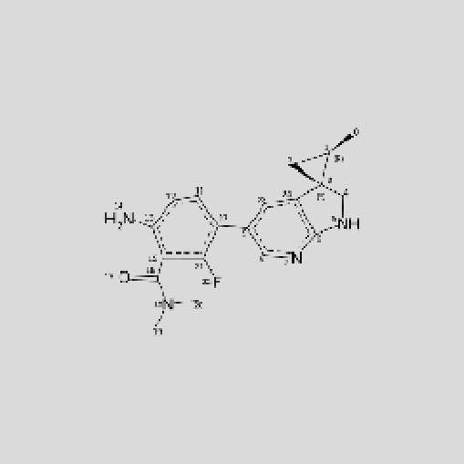 C[C@@H]1C[C@]12CNc1ncc(-c3ccc(N)c(C(=O)N(C)C)c3F)cc12